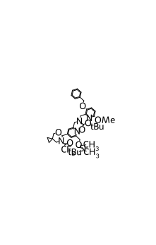 COc1ccc(OCc2ccccc2)c(CN(Cc2cc(C3OCC4(CC4)CN3C(=O)C(F)(F)F)cc(CO[Si](C)(C)C(C)(C)C)n2)C(=O)OC(C)(C)C)n1